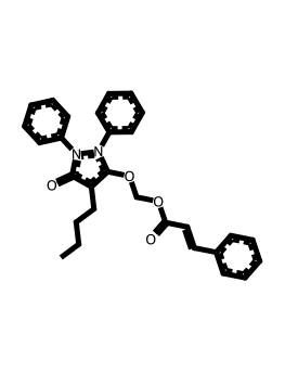 CCCCc1c(OCOC(=O)C=Cc2ccccc2)n(-c2ccccc2)n(-c2ccccc2)c1=O